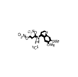 COc1cc2nccc(NC(CCO[N+](=O)[O-])O[N+](=O)[O-])c2cc1OC.Cl